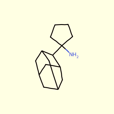 NC1(C2C3CC4CC(C3)CC2C4)CCCC1